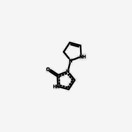 O=c1[nH]ccn1N1CC=CN1